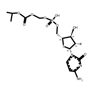 CC(C)OC(=O)OCOP(=O)(O)OC[C@H]1S[C@@H](n2ccc(N)nc2=O)[C@@H](F)[C@@H]1O